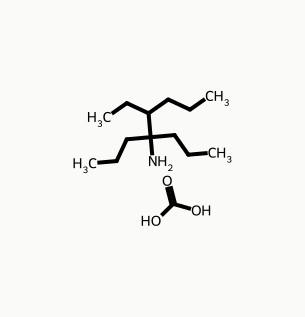 CCCC(CC)C(N)(CCC)CCC.O=C(O)O